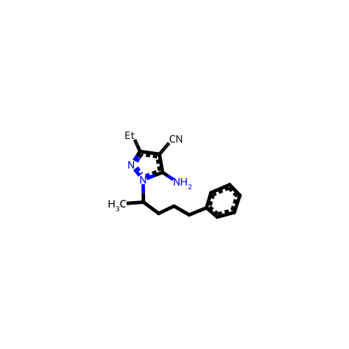 CCc1nn(C(C)CCCc2ccccc2)c(N)c1C#N